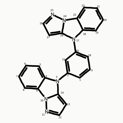 c1cc(-n2c3ccccc3n3nccc23)cc(-n2c3ccccc3n3nccc23)c1